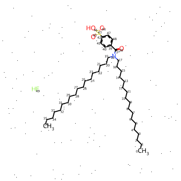 CCCCCCCCCCCCCCCCCCN(CCCCCCCCCCCCCCCCCC)C(=O)c1ccc(S(=O)(=O)O)cc1.F